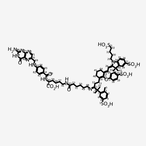 Cc1ccc(S(=O)(=O)O)cc1C(C)(C)/C(CCC1=C(Oc2ccc(S(=O)(=O)O)cc2)/C(=C/C=C2/N(CCCCS(=O)(=O)O)c3ccc(S(=O)(=O)O)cc3C2(C)C)CCC1)=N/CCCCCC(=O)NCCCC[C@H](NC(=O)c1ccc(NCc2cnc3nc(N)[nH]c(=O)c3n2)cc1)C(=O)O